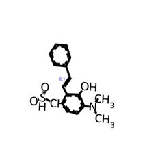 CN(C)c1cccc(/C=C/c2ccccc2)c1O.C[SH](=O)=O